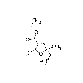 CCOC(=O)C1=C(C)OC(C)(CC)C1